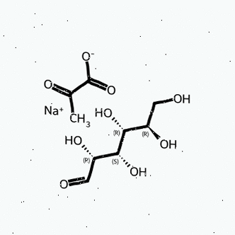 CC(=O)C(=O)[O-].O=C[C@H](O)[C@@H](O)[C@H](O)[C@H](O)CO.[Na+]